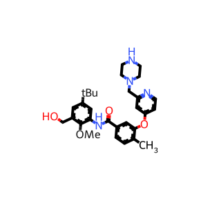 COc1c(CO)cc(C(C)(C)C)cc1NC(=O)c1ccc(C)c(Oc2ccnc(CN3CCNCC3)c2)c1